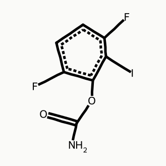 NC(=O)Oc1c(F)ccc(F)c1I